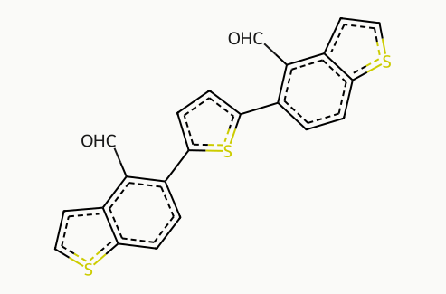 O=Cc1c(-c2ccc(-c3ccc4sccc4c3C=O)s2)ccc2sccc12